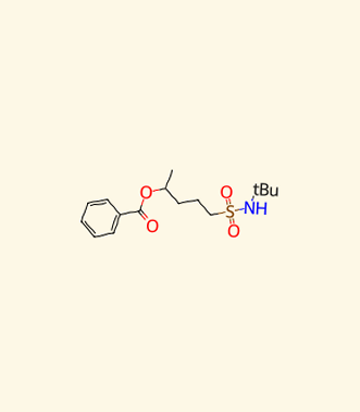 CC(CCCS(=O)(=O)NC(C)(C)C)OC(=O)c1ccccc1